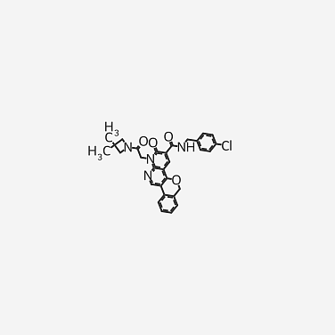 CC1(C)CN(C(=O)Cn2c(=O)c(C(=O)NCc3ccc(Cl)cc3)cc3c4c(cnc32)-c2ccccc2CO4)C1